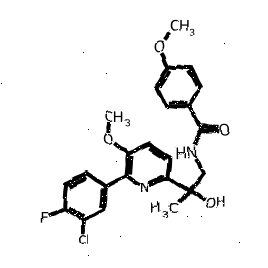 COc1ccc(C(=O)NCC(C)(O)c2ccc(OC)c(-c3ccc(F)c(Cl)c3)n2)cc1